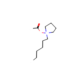 CCCCCC[N+]1(OC(C)=O)CCCC1